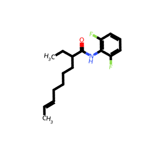 CC=CCCCCC(CC)C(=O)Nc1c(F)cccc1F